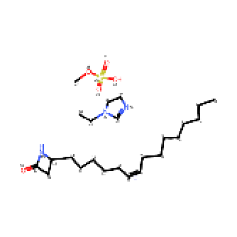 CCCCCCCC/C=C\CCCCCC1CC(=O)N1.CCN1C=NCC1.COS(=O)(=O)O